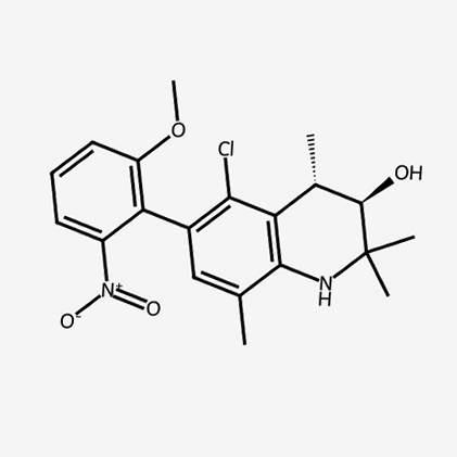 COc1cccc([N+](=O)[O-])c1-c1cc(C)c2c(c1Cl)[C@H](C)[C@@H](O)C(C)(C)N2